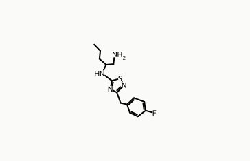 CCCC(CN)Nc1nc(Cc2ccc(F)cc2)ns1